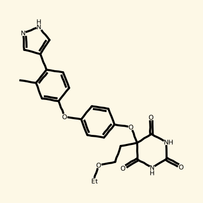 CCOCCC1(Oc2ccc(Oc3ccc(-c4cn[nH]c4)c(C)c3)cc2)C(=O)NC(=O)NC1=O